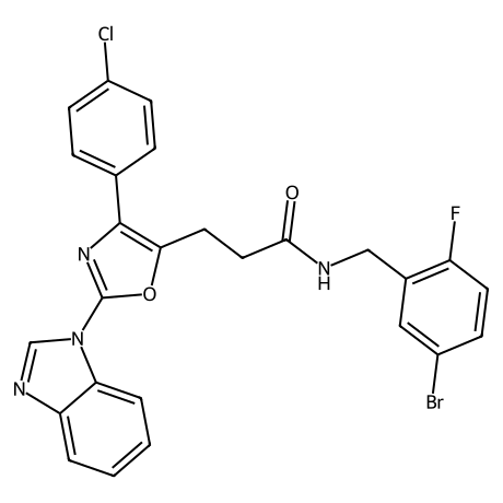 O=C(CCc1oc(-n2cnc3ccccc32)nc1-c1ccc(Cl)cc1)NCc1cc(Br)ccc1F